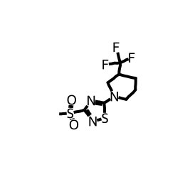 CS(=O)(=O)c1nsc(N2CCCC(C(F)(F)F)C2)n1